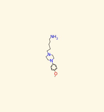 COc1ccc(N2CCN(CCCCCN)CC2)cc1